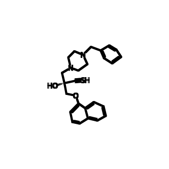 O[C@](C#[SH])(COc1cccc2ccccc12)CN1CCN(Cc2ccccc2)CC1